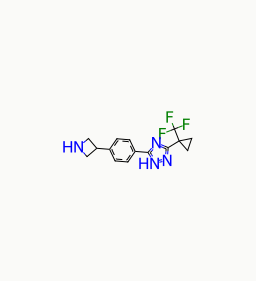 FC(F)(F)C1(c2n[nH]c(-c3ccc(C4CNC4)cc3)n2)CC1